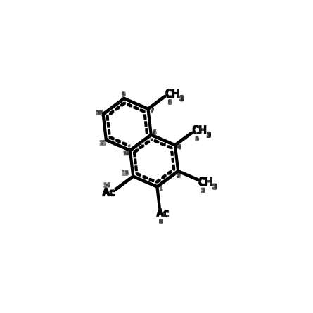 CC(=O)c1c(C)c(C)c2c(C)cccc2c1C(C)=O